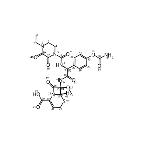 CCN1CCN(C(=O)N[C@H](C(=O)N[C@]2(OC)C(=O)N3C(C(=O)O)=CCS[C@H]32)c2ccc(OC(N)=O)cc2)C(=O)C1=O